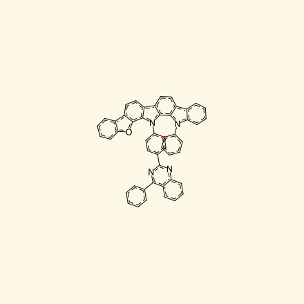 c1ccc(-c2nc(-c3ccc(-n4c5c(ccc6c7ccccc7oc65)c5ccc6c7ccccc7n(-c7ccccc7)c6c54)cc3)nc3ccccc23)cc1